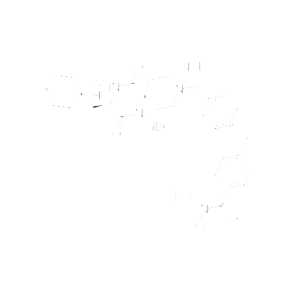 CCCCN1C(=O)[C@@H](CC2(O)CCCCC2)NC(=O)C12CCN(Cc1ccc(Oc3ccc(C(=O)N(C)C)cc3)cc1)CC2.Cl